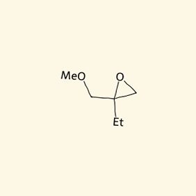 CCC1(COC)CO1